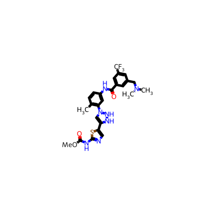 COC(=O)Nc1ncc(C2=CN(c3cc(NC(=O)c4cc(CN(C)C)cc(C(F)(F)F)c4)ccc3C)NN2)s1